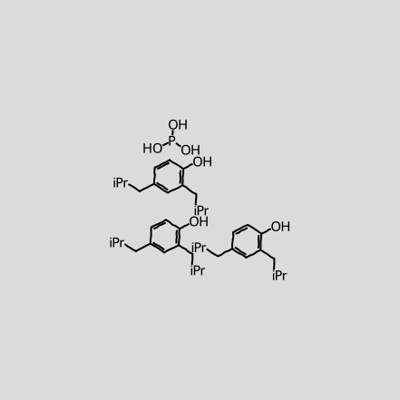 CC(C)Cc1ccc(O)c(CC(C)C)c1.CC(C)Cc1ccc(O)c(CC(C)C)c1.CC(C)Cc1ccc(O)c(CC(C)C)c1.OP(O)O